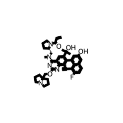 C#Cc1c(F)ccc2cc(O)cc(-c3c(C(C)(C)O)cc4c(N(C)C[C@@H]5CCCN5C(=O)C=C)nc(OCC56CCCN5CCC6)nc4c3F)c12